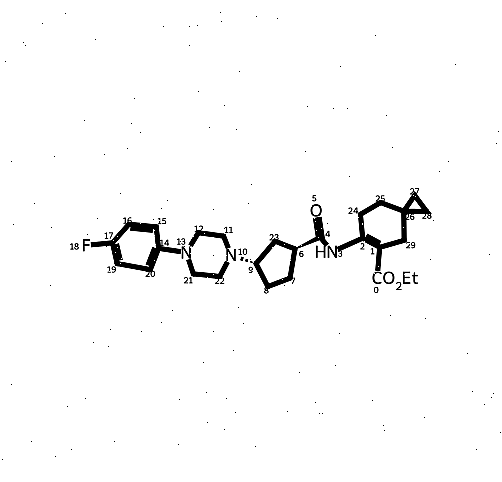 CCOC(=O)C1=C(NC(=O)[C@H]2CC[C@H](N3CCN(c4ccc(F)cc4)CC3)C2)CCC2(CC2)C1